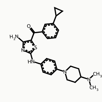 CN(C)C1CCN(c2ccc(Nc3nc(N)c(C(=O)c4cccc(C5CC5)c4)s3)cc2)CC1